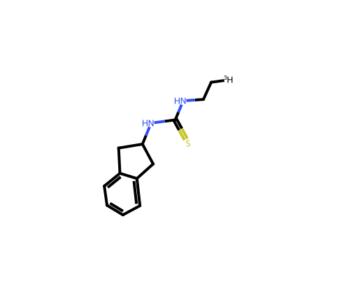 [3H]CCNC(=S)NC1Cc2ccccc2C1